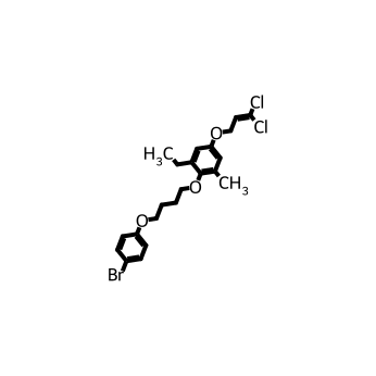 CCc1cc(OCC=C(Cl)Cl)cc(C)c1OCCCCOc1ccc(Br)cc1